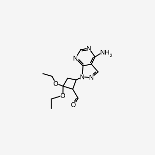 CCOC1(OCC)CC(n2ncc3c(N)ncnc32)C1C=O